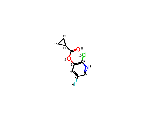 O=C(Oc1cc(F)cnc1Cl)C1CC1